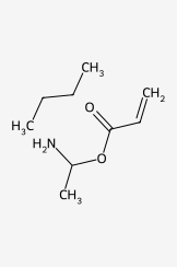 C=CC(=O)OC(C)N.CCCC